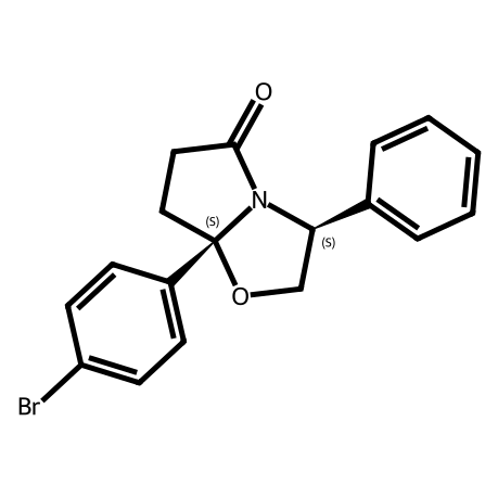 O=C1CC[C@@]2(c3ccc(Br)cc3)OC[C@H](c3ccccc3)N12